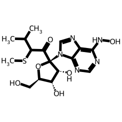 CSC(C(=O)[C@@]1(n2cnc3c(NO)ncnc32)O[C@H](CO)[C@@H](O)[C@H]1O)C(C)C